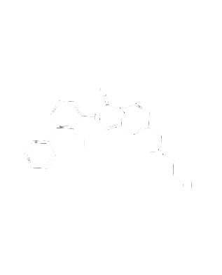 O=c1n(-c2cccc(-c3ccccc3)c2Cl)cc2cc(CNCCO)ccn12